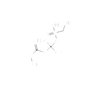 CC(C)OC(=O)OC(C)(C)OP(=O)(O)CO